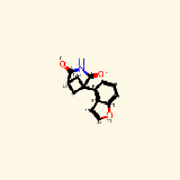 O=C1NC(=O)C2(c3cccc4occc34)CC1C2